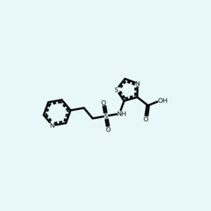 O=C(O)c1ncsc1NS(=O)(=O)CCc1cccnc1